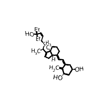 C=C1C(=CC=C2CCC[C@]3(C)C([C@@H](C)SC/C=C\C(O)(CC)CC)=CC[C@@H]23)C[C@@H](O)C[C@@H]1O